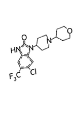 O=c1[nH]c2cc(C(F)(F)F)c(Cl)cc2n1C1CCN(C2CCOCC2)CC1